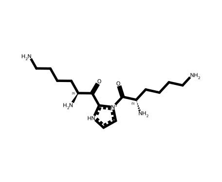 NCCCC[C@H](N)C(=O)c1[nH]cc[n+]1C(=O)[C@@H](N)CCCCN